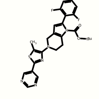 Cc1sc(-c2cncnc2)nc1N1CCc2c(cc(-c3c(F)cccc3F)n2C(=O)OC(C)(C)C)C1